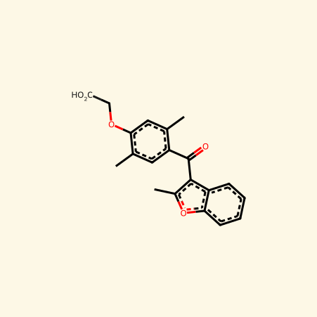 Cc1cc(C(=O)c2c(C)oc3ccccc23)c(C)cc1OCC(=O)O